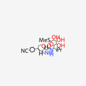 CSC1O[C@H]([C@H](NC(=O)[C@H]2NC[C@@H]3C=C(c4ccc(C#N)cc4)CCO[C@@H]23)C(C)C)C(O)C(O)[C@H]1O